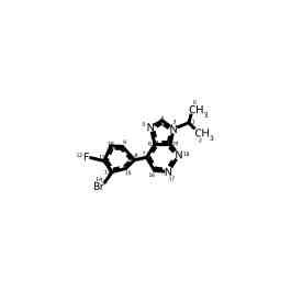 CC(C)n1cnc2c(-c3ccc(F)c(Br)c3)cnnc21